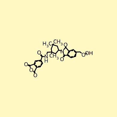 CC1(C)CC(N2C(=O)c3ccc(COO)cc3C2=O)CC(C)(CNC(=O)c2ccc3c(c2)C(=O)OC3=O)C1